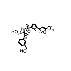 O=C(O)[C@@]1(NS(=O)(=O)c2ccc(-c3cc(C(F)(F)F)on3)s2)C[C@H]1c1cccc(CO)c1